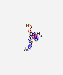 CC(=O)N1CCN(CC2CN=C(c3cc4cc(OCCCS)cc(N(C)S(=O)(=O)c5ccccn5)c4[nH]3)S2)CC1